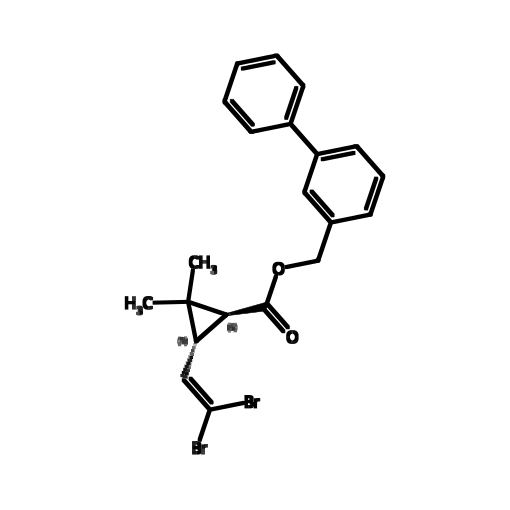 CC1(C)[C@@H](C=C(Br)Br)[C@@H]1C(=O)OCc1cccc(-c2ccccc2)c1